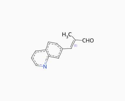 C/C(C=O)=C\c1ccc2cccnc2c1